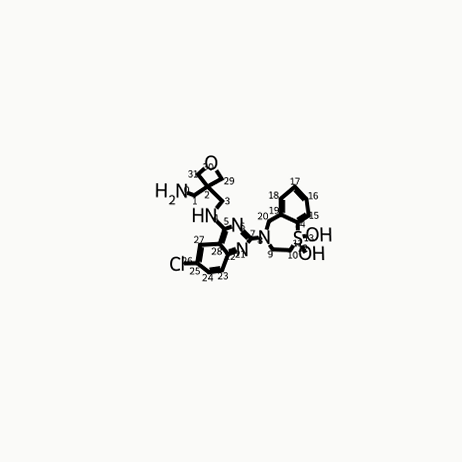 NCC1(CNc2nc(N3CCS(O)(O)c4ccccc4C3)nc3ccc(Cl)cc23)COC1